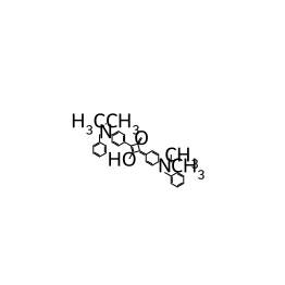 CC(C)N(Cc1ccccc1)c1ccc(C2=C(O)C(=C3C=CC(N(Cc4ccccc4)C(C)C)C=C3)C2=O)cc1